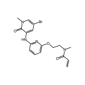 C=CC(=O)N(C)CCOc1cccc(Nc2cc(Br)cn(C)c2=O)n1